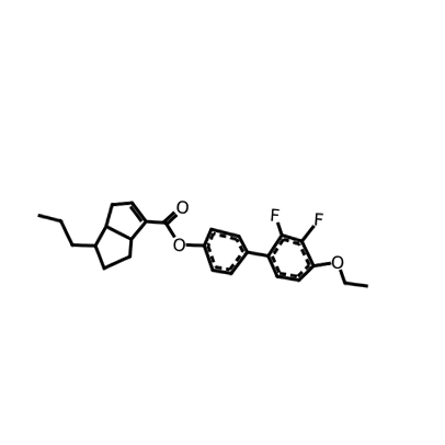 CCCC1CCC2C(C(=O)Oc3ccc(-c4ccc(OCC)c(F)c4F)cc3)=CCC12